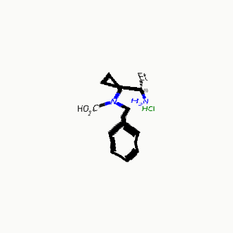 CC[C@H](N)C1(N(Cc2ccccc2)C(=O)O)CC1.Cl